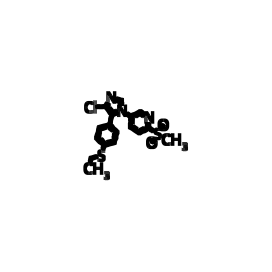 CCSc1ccc(-c2c(Cl)ncn2-c2ccc(S(C)(=O)=O)nc2)cc1